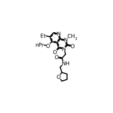 CCCOc1c(CC)cnc2c1c(=O)n(CC(=O)NCC1CCCO1)c(=O)n2C